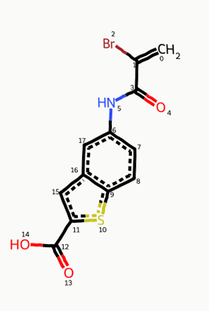 C=C(Br)C(=O)Nc1ccc2sc(C(=O)O)cc2c1